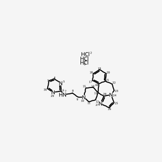 Cl.Cl.Cl.c1cnc(NCCN2CCC3(CC2)c2ccccc2CCn2ccnc23)nc1